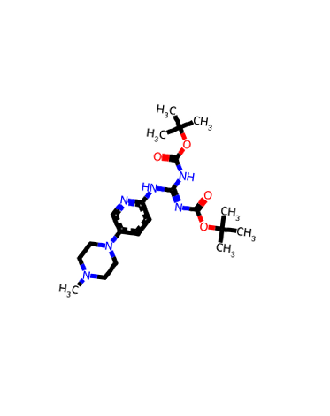 CN1CCN(c2ccc(NC(=NC(=O)OC(C)(C)C)NC(=O)OC(C)(C)C)nc2)CC1